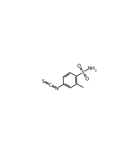 Cc1cc(N=C=S)ccc1S(N)(=O)=O